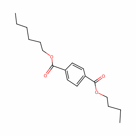 CCCCCCOC(=O)c1ccc(C(=O)OCCCC)cc1